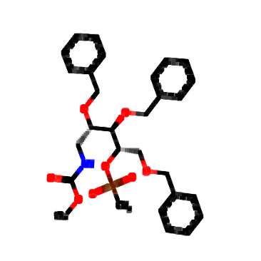 CC(C)(C)OC(=O)NC[C@H](OCc1ccccc1)[C@@H](OCc1ccccc1)[C@H](COCc1ccccc1)OS(C)(=O)=O